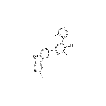 Cc1ccc2oc3ccc(-c4cc(C)c(O)c(-c5ccccc5C)c4)cc3c2c1